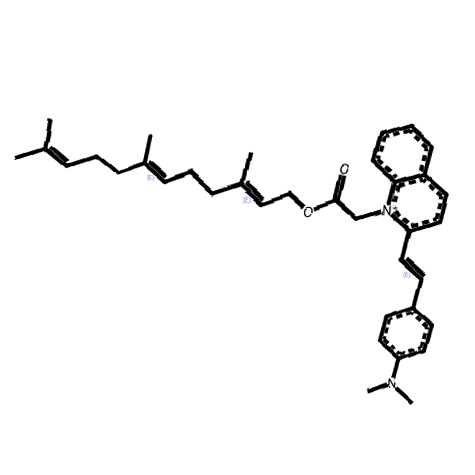 CC(C)=CCC/C(C)=C/CC/C(C)=C/COC(=O)C[n+]1c(/C=C/c2ccc(N(C)C)cc2)ccc2ccccc21